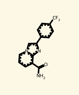 NC(=O)c1cccn2cc(-c3ccc(C(F)(F)F)cc3)nc12